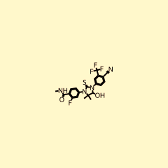 CNC(=O)c1ccc(N2C(=S)N(c3ccc(C#N)c(C(F)(F)F)c3)C(O)C2(C)C)cc1F